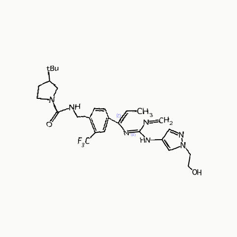 C=N/C(=N\C(=C/C)c1ccc(CNC(=O)N2CCC(C(C)(C)C)C2)c(C(F)(F)F)c1)Nc1cnn(CCO)c1